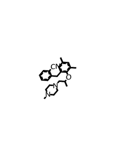 Cc1cc(C)c(OC(C)CN2CCN(C)CC2)c(Cc2ccccc2C#N)c1